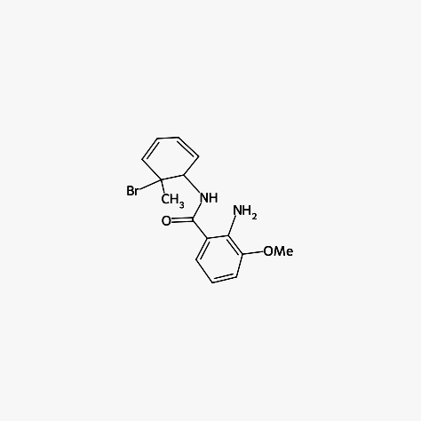 COc1cccc(C(=O)NC2C=CC=CC2(C)Br)c1N